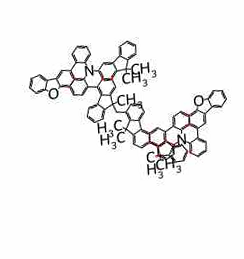 CC1(C)c2ccccc2-c2cc(N(c3ccccc3-c3ccc4oc5ccccc5c4c3)c3ccccc3-c3cccc4c3-c3ccccc3C4(C)Cc3cccc4c3C(C)(C)c3ccc(-c5cccc(N(c6ccccc6-c6ccc7oc8ccccc8c7c6)c6ccccc6-c6cccc7c6-c6ccccc6C7(C)C)c5)cc3-4)ccc21